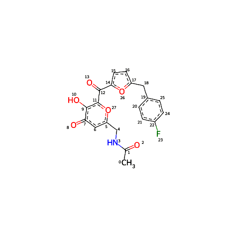 CC(=O)NCc1cc(=O)c(O)c(C(=O)c2ccc(Cc3ccc(F)cc3)o2)o1